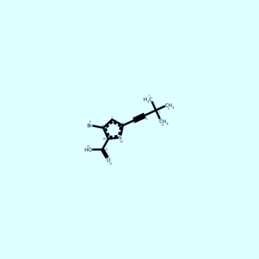 CC(C)(C)C#Cc1cc(Br)c(C(=O)O)s1